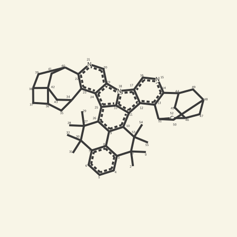 CC1(C)c2cccc3c2-c2c(c4c5c6c(ncc5n5c7cnc8c(c7c(c2C(C)(C)C3(C)C)c45)C2CC3CC4CC8CC43C2)C2CC3CC(C2)CC6C3)C1(C)C